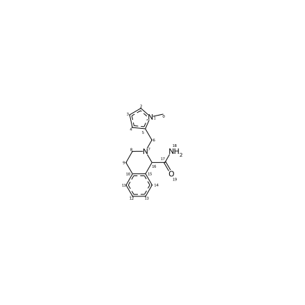 Cn1cccc1CN1CCc2c[c]ccc2C1C(N)=O